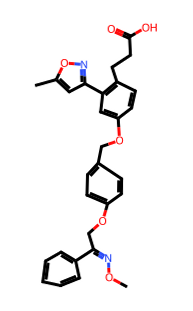 CON=C(COc1ccc(COc2ccc(CCC(=O)O)c(-c3cc(C)on3)c2)cc1)c1ccccc1